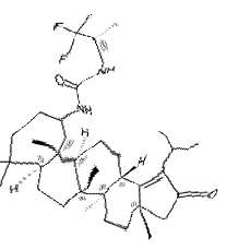 CC(C)C1=C2[C@H]3CC[C@@H]4[C@@]5(C)C(NC(=O)N[C@@H](C)C(F)(F)F)CCC(C)(C)[C@@H]5CC[C@@]4(C)[C@]3(C)CC[C@@]2(C)CC1=O